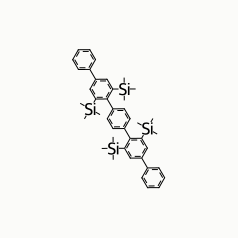 C[Si](C)(C)c1cc(-c2ccccc2)cc([Si](C)(C)C)c1-c1ccc(-c2c([Si](C)(C)C)cc(-c3ccccc3)cc2[Si](C)(C)C)cc1